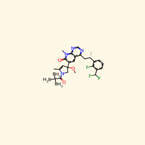 BC(B)(B)C(=O)N1CC(OC)(c2cc3c(C[C@H](C)c4cccc(C(F)F)c4F)ncnc3n(C)c2=O)C=C1C